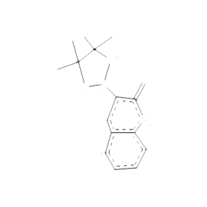 CC1(C)OB(c2cc3ccccc3[nH]c2=O)OC1(C)C